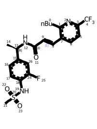 CCCCc1nc(C(F)(F)F)ccc1/C=C/C(=O)N[C@H](C)c1ccc(NS(C)(=O)=O)c(F)c1